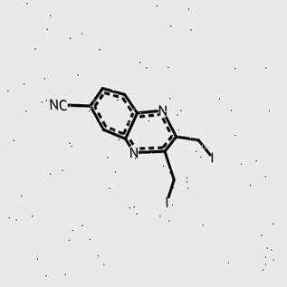 N#Cc1ccc2nc(CI)c(CI)nc2c1